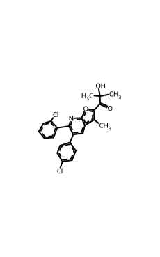 Cc1c(C(=O)C(C)(C)O)oc2nc(-c3ccccc3Cl)c(-c3ccc(Cl)cc3)cc12